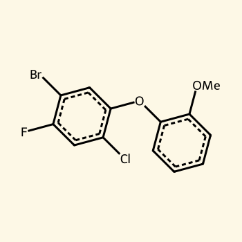 COc1ccccc1Oc1cc(Br)c(F)cc1Cl